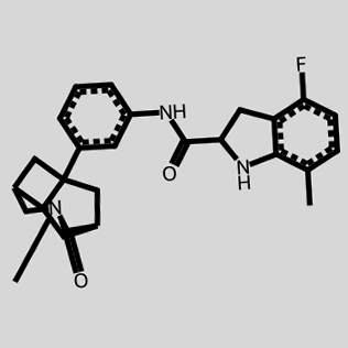 Cc1ccc(F)c2c1NC(C(=O)Nc1cccc(C34CC5CC3C(CN(C)C5=O)C4)c1)C2